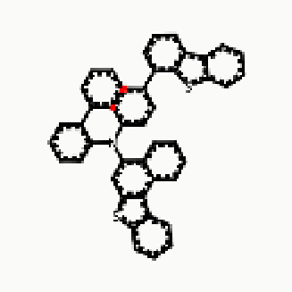 c1ccc(-c2ccccc2N(c2ccc(-c3cccc4c3sc3ccccc34)cc2)c2cc3sc4ccccc4c3c3ccccc23)cc1